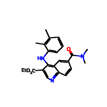 CCOC(=O)c1cnc2ccc(C(=O)N(C)C)cc2c1Nc1cccc(C)c1C